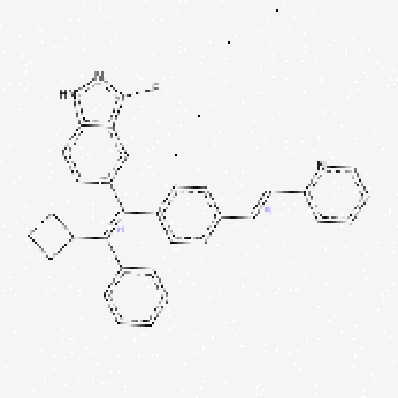 Fc1n[nH]c2ccc(/C(=C(/c3ccccc3)C3CCC3)c3ccc(/C=C/c4ccccn4)cc3)cc12